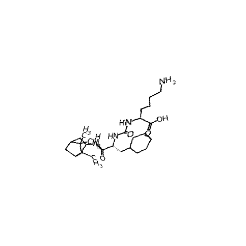 CC1(C)C2CCC1(C)C(NC(=O)[C@@H](CC1CCCCC1)NC(=O)N[C@@H](CCCCN)C(=O)O)C2